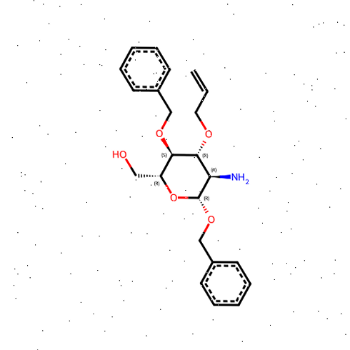 C=CCO[C@@H]1[C@@H](N)[C@H](OCc2ccccc2)O[C@H](CO)[C@H]1OCc1ccccc1